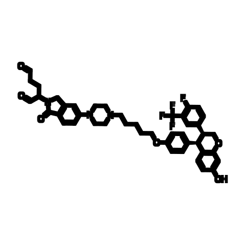 O=CCCC(C=O)N1Cc2cc(N3CCN(CCCCCOc4ccc([C@@H]5c6ccc(O)cc6OC[C@@H]5c5ccc(F)c(C(F)(F)F)c5)cc4)CC3)ccc2C1=O